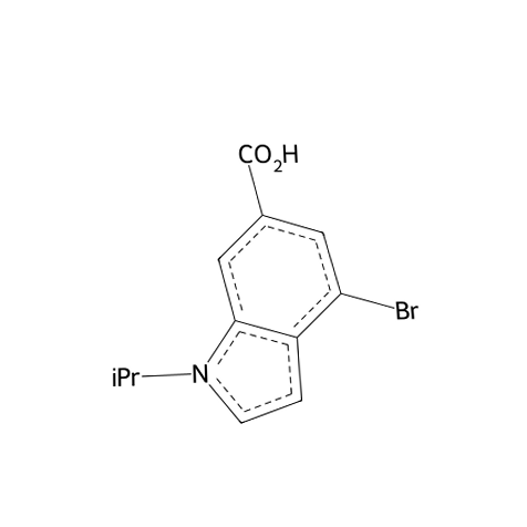 CC(C)n1ccc2c(Br)cc(C(=O)O)cc21